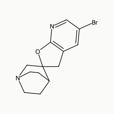 Brc1cnc2c(c1)CC1(CN3CCC1CC3)O2